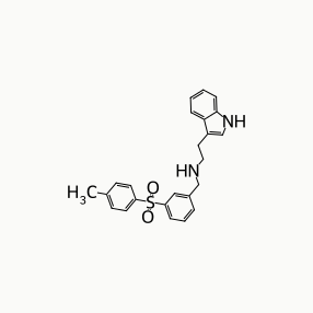 Cc1ccc(S(=O)(=O)c2cccc(CNCCc3c[nH]c4ccccc34)c2)cc1